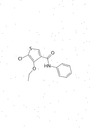 CCOc1c(C(=O)Nc2ccccc2)csc1Cl